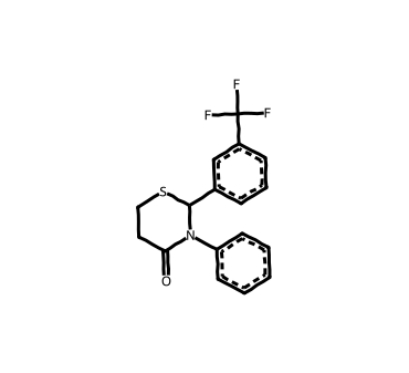 O=C1CCSC(c2cccc(C(F)(F)F)c2)N1c1ccccc1